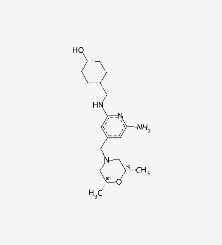 C[C@@H]1CN(Cc2cc(N)nc(NCC3CCC(O)CC3)c2)C[C@H](C)O1